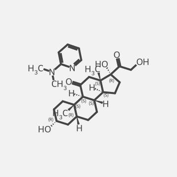 CN(C)c1ccccn1.C[C@]12CC[C@@H](O)C[C@H]1CC[C@@H]1[C@@H]2C(=O)C[C@@]2(C)[C@H]1CC[C@]2(O)C(=O)CO